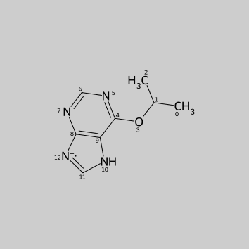 CC(C)Oc1ncnc2c1NC=[N+]2